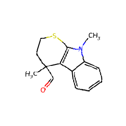 Cn1c2c(c3ccccc31)C(C)(C=O)CCS2